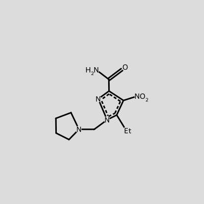 CCc1c([N+](=O)[O-])c(C(N)=O)nn1CN1CCCC1